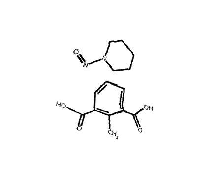 Cc1c(C(=O)O)cccc1C(=O)O.O=NN1CCCCC1